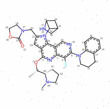 C[C@H](Oc1nc2c(F)c(N3CCCc4ccccc43)ncc2c2c1cc(CN1CCOC1=O)n2C1C2CNC1C2)[C@@H]1CCCN1C